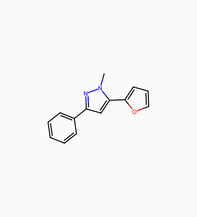 Cn1nc(-c2ccccc2)cc1-c1ccco1